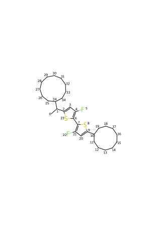 CC(c1cc(F)c(-c2sc(C3CCCCCCCCC3)cc2F)s1)C1CCCCCCCCCC1